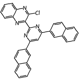 Clc1nc2ccccc2nc1-c1nc(-c2ccc3ccccc3c2)cc(-c2ccc3ccccc3c2)n1